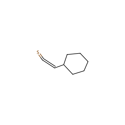 S=C=CC1CCCCC1